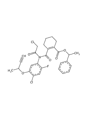 C#CC(C)Oc1cc(N(C(=O)CCl)C(=O)C2=C(C(=O)OC(C)c3ccccc3)CCCC2)c(F)cc1Cl